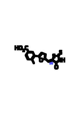 Cc1ccc(C(=O)O)cc1-c1ccc(/C=C2\SC(=S)NC2=O)o1